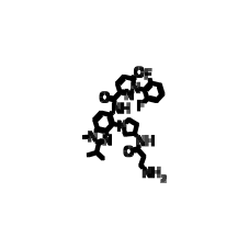 CC(C)c1nc2c(N3CC[C@@H](NC(=O)CCN)C3)c(NC(=O)c3ccc(=O)n(-c4c(F)cccc4F)n3)ccc2n1C